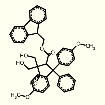 COc1ccc(C(c2ccccc2)(c2ccc(OC)cc2)C(C(=O)OCC2c3ccccc3-c3ccccc32)C(CO)(CO)CO)cc1